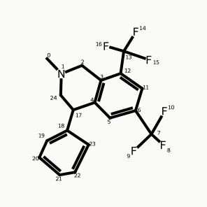 CN1Cc2c(cc(C(F)(F)F)cc2C(F)(F)F)C(c2ccccc2)C1